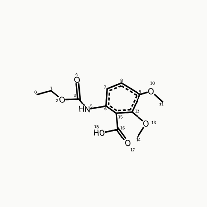 CCOC(=O)Nc1ccc(OC)c(OC)c1C(=O)O